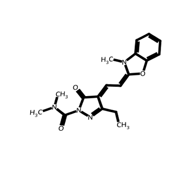 CCC1=NN(C(=O)N(C)C)C(=O)/C1=C/C=C1/Oc2ccccc2N1C